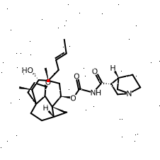 C/C=C/C[C@]1(C)C[C@@H](OC(=O)NC(=O)[C@H]2CN3CC[C@@H]2C3)[C@]23C[C@@H]2CCC2(CCC(=O)C23)[C@@H](C)[C@@H]1O